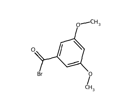 COc1cc(OC)cc(C(=O)Br)c1